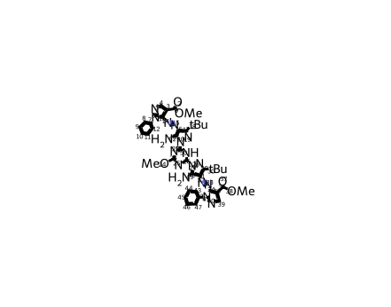 COC(=O)c1cnn(-c2ccccc2)c1/N=N/c1c(C(C)(C)C)nn(C2=NC(OC)=NC(n3nc(C(C)(C)C)c(/N=N/c4c(C(=O)OC)cnn4-c4ccccc4)c3N)N2)c1N